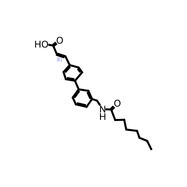 CCCCCCCC(=O)NCc1cccc(-c2ccc(/C=C/C(=O)O)cc2)c1